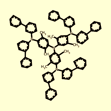 Cc1cc(N(c2cc(C)c(N(c3cccc(-c4ccccc4)c3)c3cccc(-c4ccccc4)c3)cc2C)c2cc(C)c(N(c3cccc(-c4ccccc4)c3)c3cccc(-c4ccccc4)c3)cc2C)c(C)cc1N(c1cccc(-c2ccccc2)c1)c1cccc(-c2ccccc2)c1